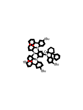 CC(C)(C)c1ccc(N2c3ccccc3B3c4ccc(C(C)(C)C)cc4N(c4ccc(C(C)(C)C)cc4-c4ccccc4)c4cc(N5c6ccc(C(C)(C)C)cc6C6(c7ccccc7)CCCCC56C)cc2c43)c(-c2ccccc2)c1